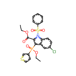 CCOC(=O)c1c(P(=O)(OCC)c2ccsc2)c2cc(Cl)ccc2n1S(=O)(=O)c1ccccc1